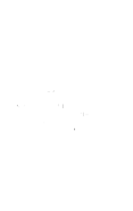 CCCC[C@H](NC(=O)[C@H](Cc1ccccc1)NC(=O)OCc1ccccc1)C(=O)OC